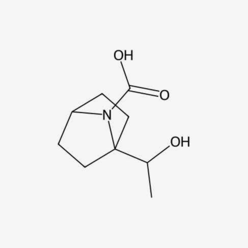 CC(O)C12CCC(CC1)N2C(=O)O